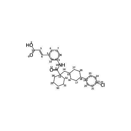 O=C(O)/C=C/c1cccc(NC(=O)C2(CC3CCC(c4ccc(Cl)cc4)CC3)CCCCC2)c1